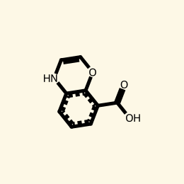 O=C(O)c1cccc2c1OC=CN2